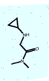 CN(C)C(=O)CNC1CC1